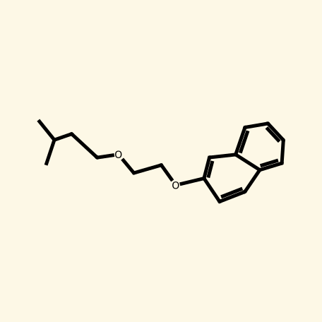 CC(C)CCOCCOc1ccc2ccccc2c1